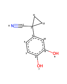 N#CC1(c2ccc(O)c(O)c2)CC1